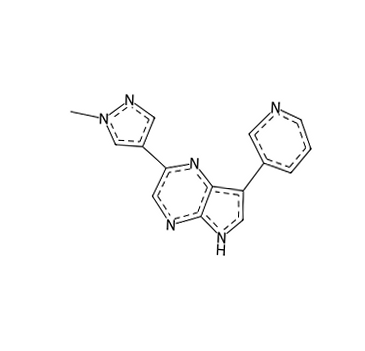 Cn1cc(-c2cnc3[nH]cc(-c4cccnc4)c3n2)cn1